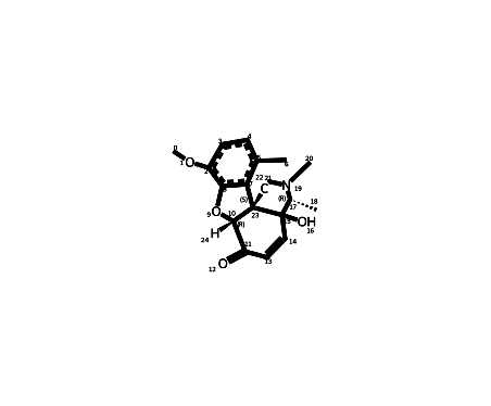 COc1ccc(C)c2c1O[C@H]1C(=O)C=CC3(O)[C@@H](C)N(C)CC[C@]213